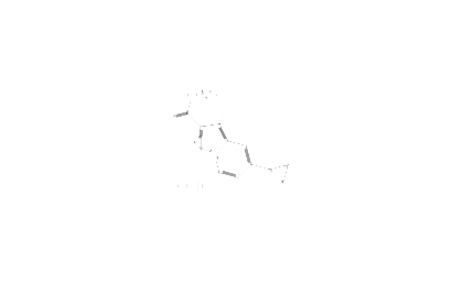 COC(=O)c1nn2c(C=O)cc(C3CC3)cc2c1Cl